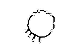 S=C1CCCCCCCCCCCCCCC(=S)C(=S)C1=S